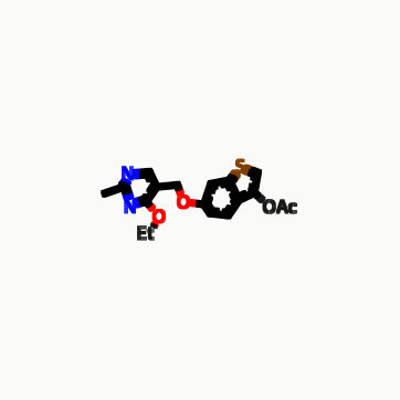 CCOc1nc(C)ncc1COc1ccc2c(OC(C)=O)csc2c1